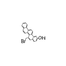 Oc1ccc2cc(CBr)c3c(ccc4c5ccccc5ccc43)c2c1